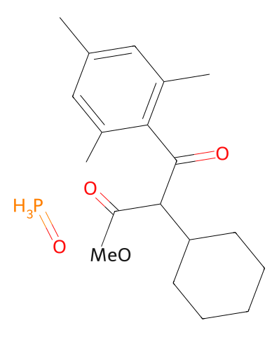 COC(=O)C(C(=O)c1c(C)cc(C)cc1C)C1CCCCC1.O=[PH3]